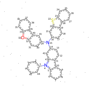 c1ccc(-n2c3ccccc3c3ccc(N(c4ccc5c(c4)sc4ccccc45)c4ccc5oc6ccccc6c5c4)cc32)cc1